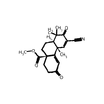 COC(=O)[C@]12CCC(=O)C=C1[C@@]1(C)C=C(C#N)C(=O)C(C)(C)[C@@H]1CC2